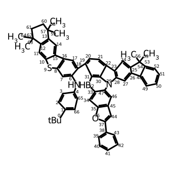 CC(C)(C)c1ccc(Nc2cc3sc4cc5c(cc4c3cc2-c2ccc3c4cc6c(cc4n4c3c2Bc2cc3oc(-c7ccccc7)cc3cc2-4)-c2ccccc2C6(C)C)C(C)(C)CCC5(C)C)cc1